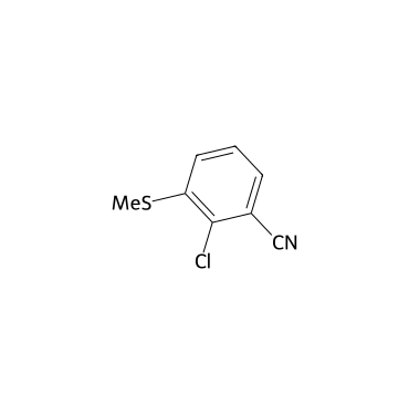 CSc1cccc(C#N)c1Cl